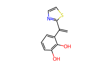 C=C(c1nccs1)c1cccc(O)c1O